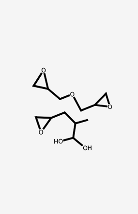 C(OCC1CO1)C1CO1.CC(CC1CO1)C(O)O